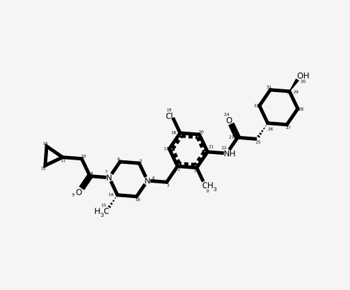 Cc1c(CN2CCN(C(=O)CC3CC3)[C@@H](C)C2)cc(Cl)cc1NC(=O)C[C@H]1CC[C@H](O)CC1